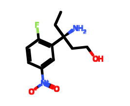 CC[C@](N)(CCO)c1cc([N+](=O)[O-])ccc1F